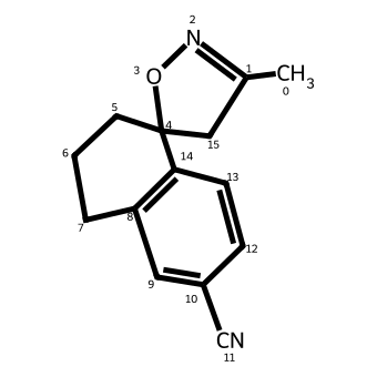 CC1=NOC2(CCCc3cc(C#N)ccc32)C1